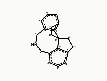 c1cc2c3c(c1)CNCc1cccc4c1C3(CC2)CC4